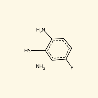 N.Nc1ccc(F)cc1S